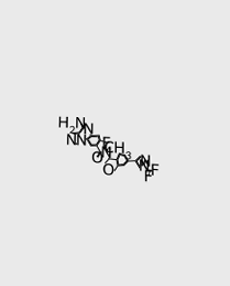 CN(C(=O)c1cc2c(cc1F)nc(N)c1cncn12)[C@@H]1COCc2cc(-c3cnn(C(F)F)c3)ccc21